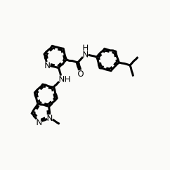 CC(C)c1ccc(NC(=O)c2cccnc2Nc2ccc3cnn(C)c3c2)cc1